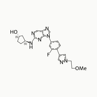 COCCn1cc(-c2ccc(-n3cnc4cnc(N[C@H]5CC[C@H](O)C5)nc43)cc2F)cn1